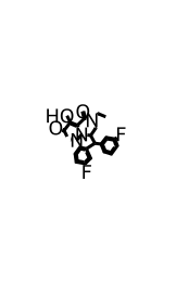 C=NN1/C(=C(/O)C(C)=O)C(=O)N(CC)CC1C(c1cccc(F)c1)c1cccc(F)c1